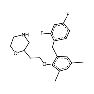 Cc1cc(C)c(OCCC2CNCCO2)c(Cc2ccc(F)cc2F)c1